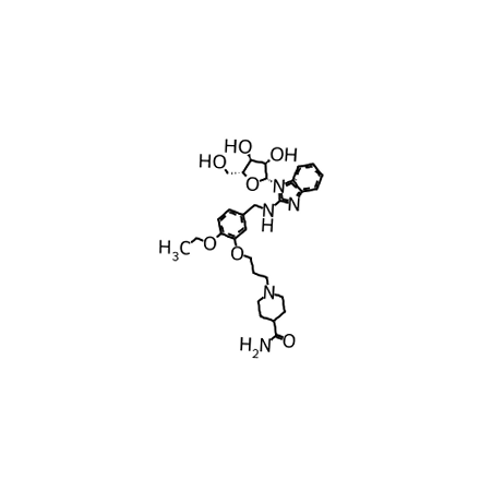 CCOc1ccc(CNc2nc3ccccc3n2[C@@H]2O[C@H](CO)[C@@H](O)[C@H]2O)cc1OCCCN1CCC(C(N)=O)CC1